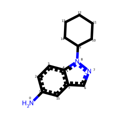 Nc1ccc2c(cnn2C2CCCCC2)c1